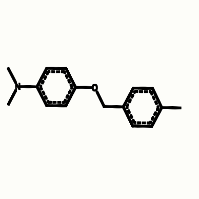 Cc1ccc(COc2ccc(N(C)C)cc2)cc1